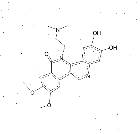 COc1cc2c(=O)n(CCN(C)C)c3c4cc(O)c(O)cc4ncc3c2cc1OC